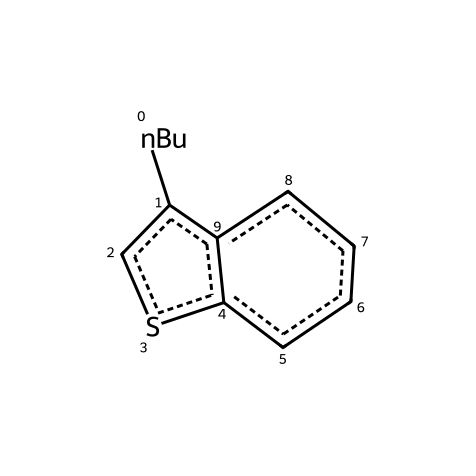 CCCCc1csc2ccccc12